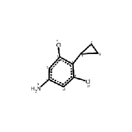 Nc1cc(Cl)c(C2CC2)c(Cl)c1